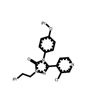 CC(C)CCn1nc(-c2ccncc2Cl)n(-c2ccc(OC(C)C)cc2)c1=O